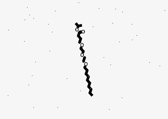 CCCCCCCCCCOCCOCCOCCCC(=O)OC(C)C